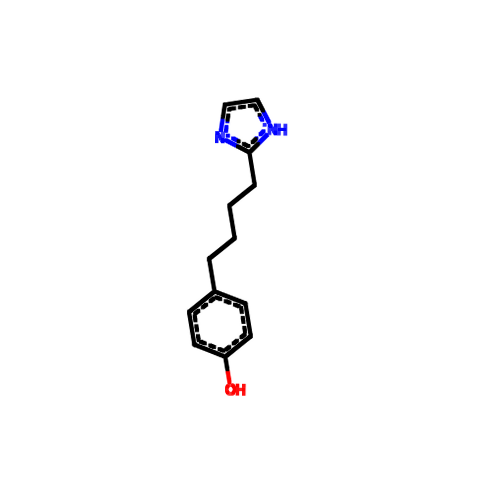 Oc1ccc(CCCCc2ncc[nH]2)cc1